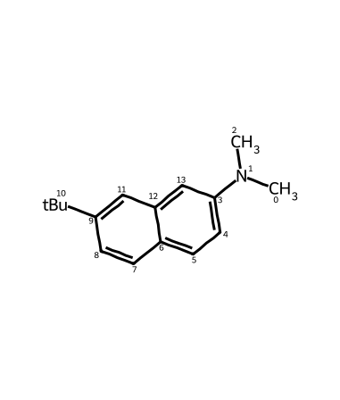 CN(C)c1ccc2ccc(C(C)(C)C)cc2c1